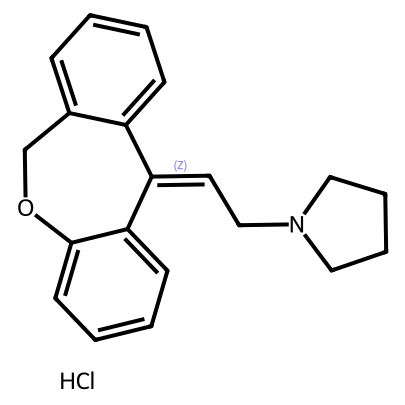 C(/CN1CCCC1)=C1\c2ccccc2COc2ccccc21.Cl